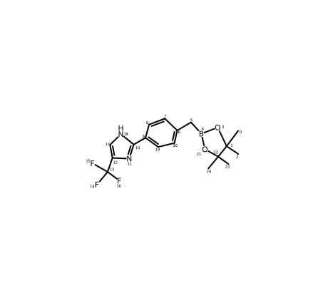 CC1(C)OB(Cc2ccc(-c3nc(C(F)(F)F)c[nH]3)cc2)OC1(C)C